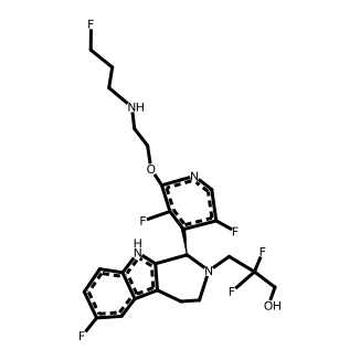 OCC(F)(F)CN1CCc2c([nH]c3ccc(F)cc23)[C@H]1c1c(F)cnc(OCCNCCCF)c1F